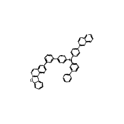 c1ccc(-c2cccc(N(c3ccc(-c4cccc(-c5ccc6c(ccc7oc8ccccc8c76)c5)c4)cc3)c3ccc(-c4ccc5ccccc5c4)cc3)c2)cc1